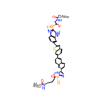 COC(=O)NCCC(=O)Pc1ncc(-c2ccc3cc(-c4ccc5cc(-c6ccc7nc(PC(=O)CNC(=O)OC)[nH]c7c6)sc5c4)ccc3c2)[nH]1